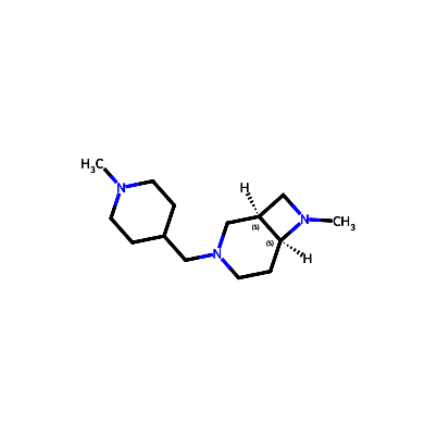 CN1CCC(CN2CC[C@H]3[C@@H](C2)CN3C)CC1